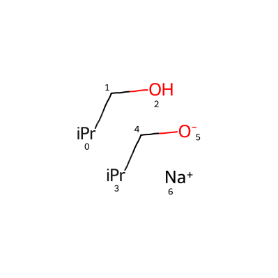 CC(C)CO.CC(C)C[O-].[Na+]